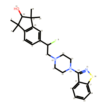 CC1(C)c2ccc(C(F)CN3CCN(c4nsc5ccccc45)CC3)cc2C(C)(C)C1O